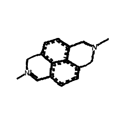 CN1Cc2ccc3c4c(ccc(c24)C1)C[N+](C)=C3